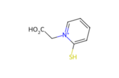 O=C(O)C[n+]1ccccc1S